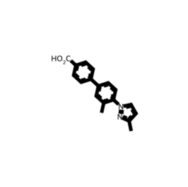 Cc1ccn(-c2ccc(-c3ccc(C(=O)O)cc3)cc2C)n1